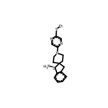 CCSc1cnc(N2CCC3(CC2)Cc2ccccc2[C@H]3N)cn1